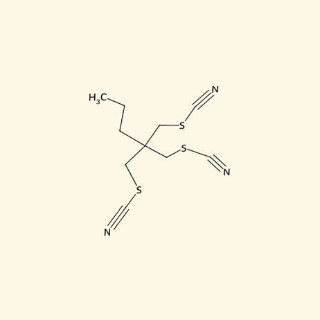 CCCC(CSC#N)(CSC#N)CSC#N